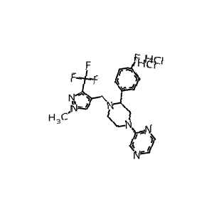 Cl.Cl.Cn1cc(CN2CCN(c3cnccn3)CC2c2ccc(F)cc2)c(C(F)(F)F)n1